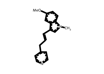 COc1ccc2c(c1)c(C=CCc1ccncc1)cn2C